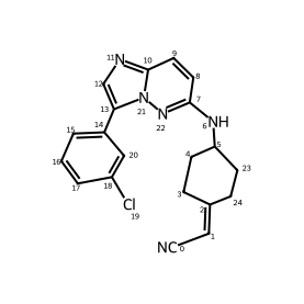 N#CC=C1CCC(Nc2ccc3ncc(-c4cccc(Cl)c4)n3n2)CC1